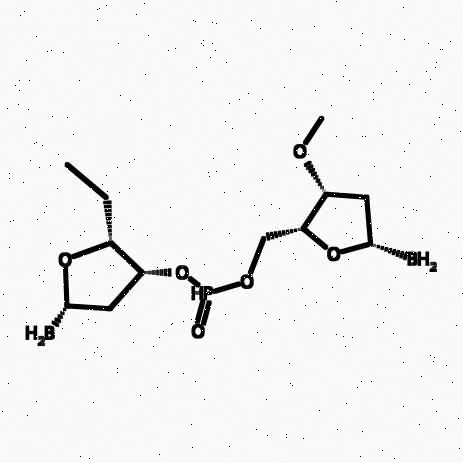 B[C@H]1C[C@@H](OC)[C@@H](CO[PH](=O)O[C@@H]2C[C@H](B)O[C@@H]2CC)O1